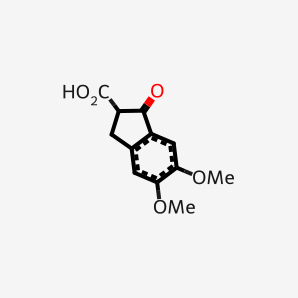 COc1cc2c(cc1OC)C(=O)C(C(=O)O)C2